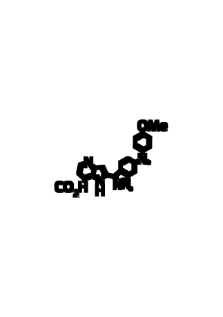 COc1ccc(N(C)c2ccc3c(-c4cc5nccc(C(=O)O)c5[nH]4)nn(C)c3c2)cc1